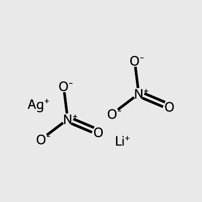 O=[N+]([O-])[O-].O=[N+]([O-])[O-].[Ag+].[Li+]